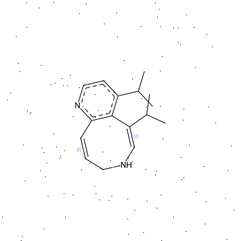 CC(C)/C1=C/NC/C=C\c2nccc(C(C)C)c21